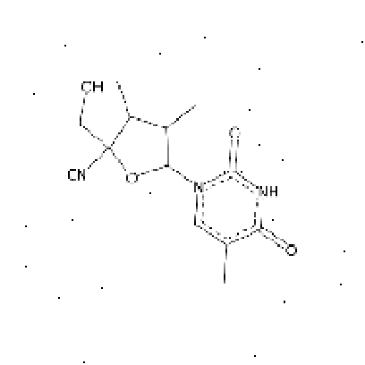 [C-]#[N+]C1(CO)OC(n2cc(C)c(=O)[nH]c2=O)C(C)C1C